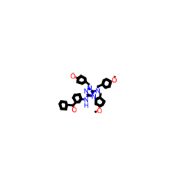 COc1ccc(CN(Cc2ccc(OC)cc2)c2nc(Nc3cccc(C(=O)c4ccccc4)c3)nn2Cc2ccc(OC)cc2)cc1